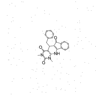 Cn1c2c(c(=O)n(C)c1=O)C(Cc1ccccc1)C1=C(N2)c2ccccc2C1=O